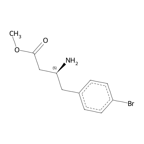 COC(=O)C[C@@H](N)Cc1ccc(Br)cc1